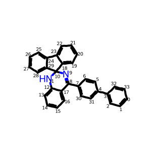 c1ccc(-c2ccc(C3=NC4(Nc5ccccc53)c3ccccc3-c3ccccc34)cc2)cc1